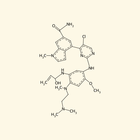 C=CC(O)Nc1cc(Nc2ncc(Cl)c(-c3cc(C(N)=O)cc4c3ccn4C)n2)c(OC)cc1N(C)CCN(C)C